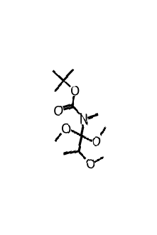 COC(C)C(OC)(OC)N(C)C(=O)OC(C)(C)C